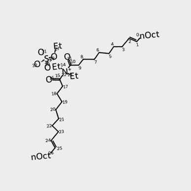 CCCCCCCCC=CCCCCCCCC(=O)[N+](CC)(CC)C(=O)CCCCCCCC=CCCCCCCCC.CCOS(=O)(=O)[O-]